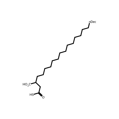 CCCCCCCCCCCCCCCCCCCCCCCCC(CC(=O)S)C(=O)O